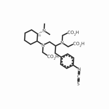 CN(C)[C@H]1CCCCC1N(CC(=O)O)CC(Cc1ccc(N=C=S)cc1)N(CC(=O)O)CC(=O)O